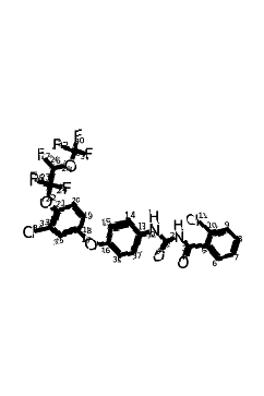 O=C(NC(=O)c1ccccc1Cl)Nc1ccc(Oc2ccc(OC(F)(F)C(F)OC(F)(F)F)c(Cl)c2)cc1